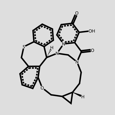 O=C1c2c(O)c(=O)ccn2N2CN1CC[C@@H]1CC1COc1cccc3c1[C@H]2c1ccccc1SC3